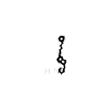 NC1CCN(Cc2ccc3cc(OCCCCCc4ccccc4)ccc3c2)C1